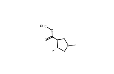 C[C@H]1CN(C)C[C@@H]1C(=O)OC=O